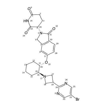 O=C1CC[C@H](N2Cc3cc(O[C@H]4CCCC[C@@H]4N4CC(c5ncc(Br)cn5)C4)ccc3C2=O)C(=O)N1